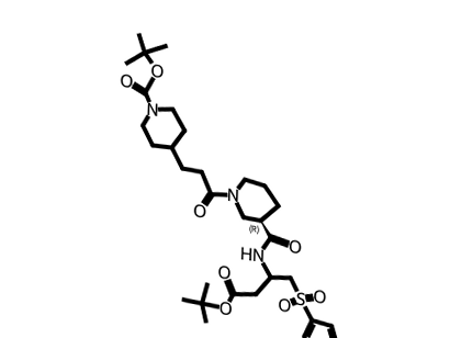 CC(C)(C)OC(=O)CC(CS(=O)(=O)c1ccccc1)NC(=O)[C@@H]1CCCN(C(=O)CCC2CCN(C(=O)OC(C)(C)C)CC2)C1